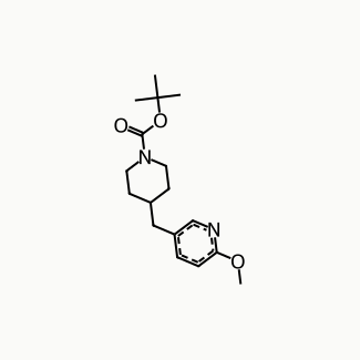 COc1ccc(CC2CCN(C(=O)OC(C)(C)C)CC2)cn1